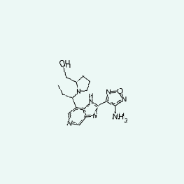 CCC(c1cncc2nc(-c3nonc3N)[nH]c12)N1CCCC1CO